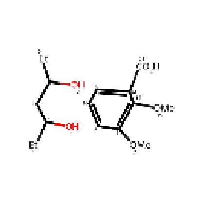 CCC(O)CC(O)CC.COc1cccc(C(=O)O)c1OC